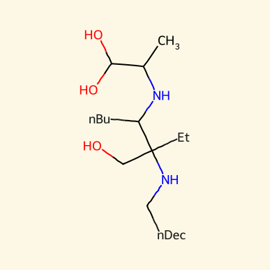 C[CH]CCCCCCCCCNC(CC)(CO)C(CCCC)NC(C)C(O)O